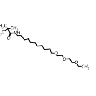 CCOCCOCCOCCCCCCCCCCCNC(=O)C(C)(C)C